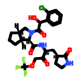 O=C1NCC[C@H]1C[C@H](NC(=O)[C@@H]1[C@H]2CCC[C@H]2CN1C(=O)C(O)c1ccccc1Cl)C(=O)COC(F)(F)F